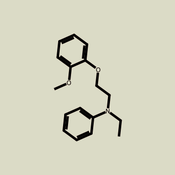 CCN(CCOc1ccccc1OC)c1ccccc1